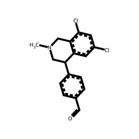 CN1Cc2c(Cl)cc(Cl)cc2C(c2ccc(C=O)cc2)C1